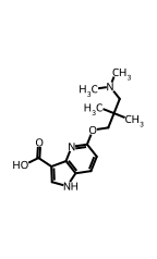 CN(C)CC(C)(C)COc1ccc2[nH]cc(C(=O)O)c2n1